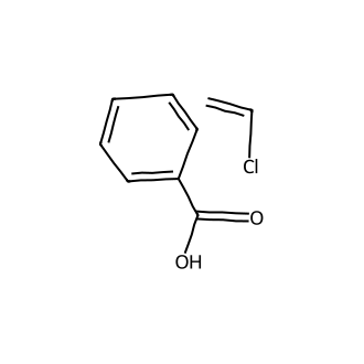 C=CCl.O=C(O)c1ccccc1